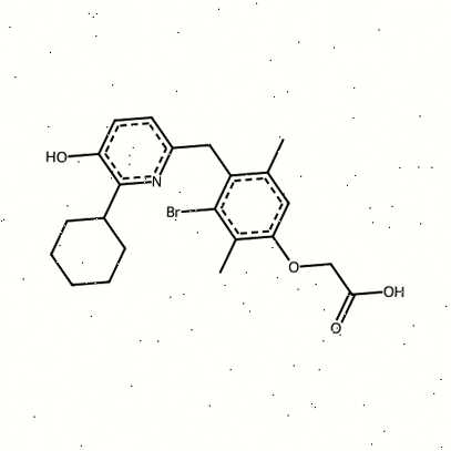 Cc1cc(OCC(=O)O)c(C)c(Br)c1Cc1ccc(O)c(C2CCCCC2)n1